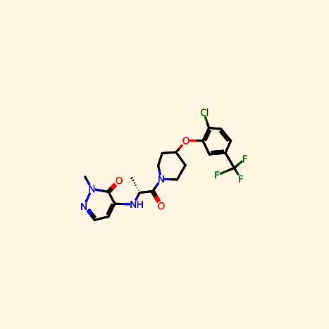 C[C@@H](Nc1ccnn(C)c1=O)C(=O)N1CCC(Oc2cc(C(F)(F)F)ccc2Cl)CC1